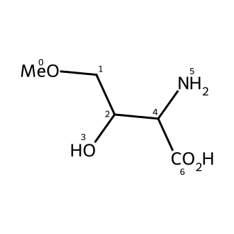 COCC(O)C(N)C(=O)O